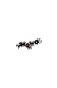 O=C(COc1ccc(Cl)c(C(F)(F)F)c1)NC12CCC(NC(=O)c3cc(C(F)F)no3)(CC1)C[C@@H]2O